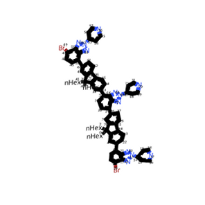 CCCCCCC1(CCCCCC)c2cc(-c3ccc(Br)c4nn(-c5ccncc5)nc34)ccc2-c2ccc(-c3ccc(-c4ccc5c(c4)C(CCCCCC)(CCCCCC)c4cc(-c6ccc(Br)c7nn(-c8ccncc8)nc67)ccc4-5)c4nn(-c5ccncc5)nc34)cc21